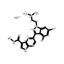 CC(C)NC(=O)c1c[nH]c2ncc(-c3nn(CCN(C)C)c4cc(Cl)cc(F)c34)nc12.Cl